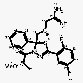 CO[C@@H](C)C(=O)N1N=C(c2cc(F)ccc2F)SC1(COCC(=N)N)c1ccccc1